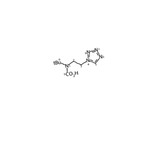 CC(C)(C)N(CCn1cnnn1)C(=O)O